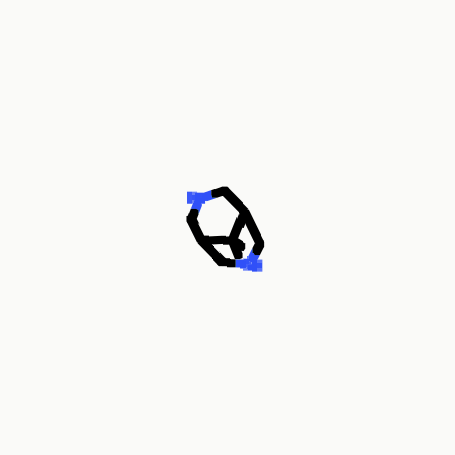 CC1(C)C2CNCC1CNC2